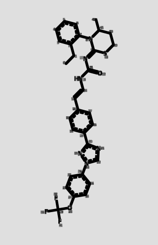 CCc1ccccc1N1/C(=N/C(=O)N/C=C/c2ccc(-c3ncn(-c4ccc(OC(F)(F)F)cc4)n3)cc2)SCCC1C